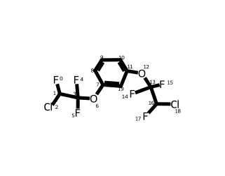 FC(Cl)C(F)(F)Oc1[c]ccc(OC(F)(F)C(F)Cl)c1